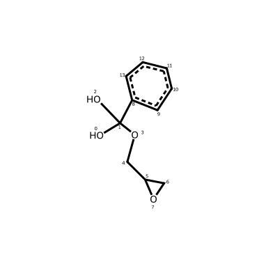 OC(O)(OCC1CO1)c1ccccc1